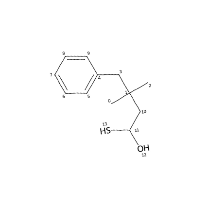 CC(C)(Cc1ccccc1)CC(O)S